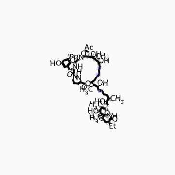 CC[C@H]1C[C@H](C)[C@@]2(NC1=O)O[C@@H](C[C@H](O)[C@@H](C)CC/C=C/C(O)C(C)[C@@H]1C/C=C/C=C/[C@H](O)[C@H](C)[C@@H](O)[C@@H](CCC(C)=O)C(=O)N[C@@H](C(C)C)C(=O)N[C@@H](Cc3cccc(O)c3)C(=O)N3CCCC(N3)C(=O)O1)[C@H](C)[C@H](O)[C@@H]2C